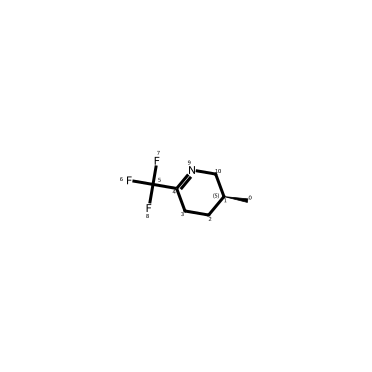 C[C@H]1CCC(C(F)(F)F)=NC1